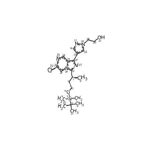 C[C@@H](CCO[Si](C)(C)C(C)(C)C)c1nc(-c2cnn(CCO)c2)c2cnc(Cl)cn12